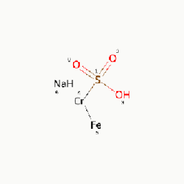 O=[S](=O)(O)[Cr][Fe].[NaH]